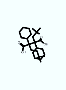 CC(C)(C)CCC(C(=O)O)(C1CCCCC1)C(CC(C)(C)C)(C(=O)O)C1CCCCC1